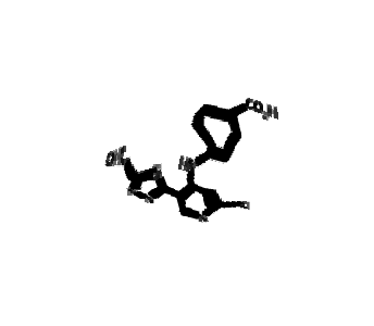 O=Cc1nnc(-c2cnc(Cl)cc2Nc2ccc(C(=O)O)cc2)s1